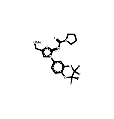 COCc1cn(-c2ccc3c(c2)OC(F)(F)C(F)(F)O3)/c(=N/C(=O)N2CCCC2)s1